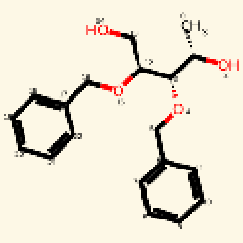 C[C@H](O)[C@H](OCc1ccccc1)[C@H](CO)OCc1ccccc1